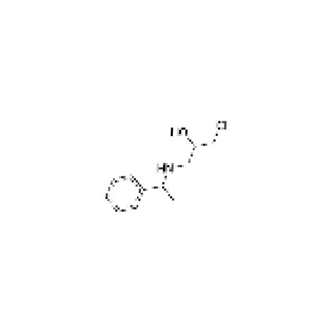 CC(NCC(O)CCl)c1ccccc1